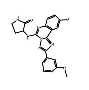 COc1cccc(-c2nc3c4cc(F)ccc4nc(NC4CCNC4=O)n3n2)c1